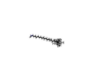 C/C=C\CCCCCCCCCCCCCCCCCCC(O)(C[N+](C)(C)C)P(=O)(O)O